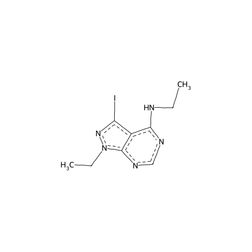 CCNc1ncnc2c1c(I)nn2CC